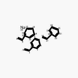 C=Cc1ccccc1.C=Cc1ccccc1.C=Cc1ccccc1.[Na]